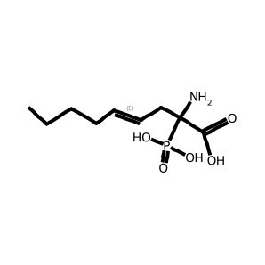 CCCC/C=C/CC(N)(C(=O)O)P(=O)(O)O